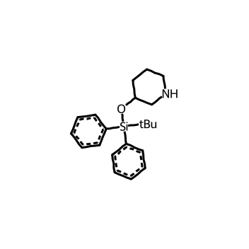 CC(C)(C)[Si](OC1CCCNC1)(c1ccccc1)c1ccccc1